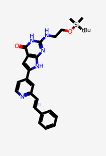 CC(C)(C)[Si](C)(C)OCCNc1nc2[nH]c(-c3ccnc(/C=C/c4ccccc4)c3)cc2c(=O)[nH]1